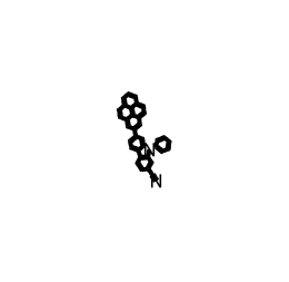 N#Cc1ccc2c3ccc(-c4cc5ccc6cccc7ccc(c4)c5c67)cc3n(-c3ccccc3)c2c1